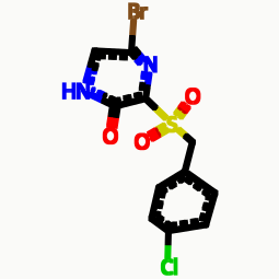 O=c1[nH]cc(Br)nc1S(=O)(=O)Cc1ccc(Cl)cc1